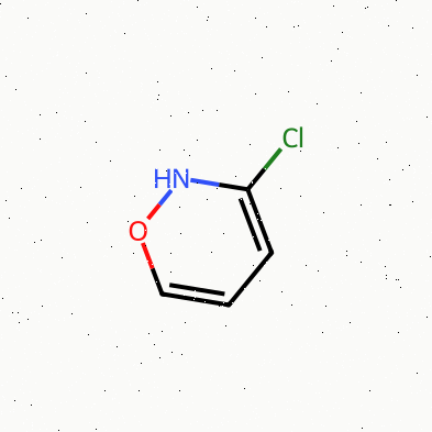 ClC1=CC=CON1